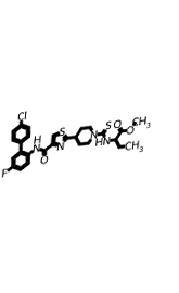 CCC(NC(=S)N1CCC(c2nc(C(=O)Nc3ccc(F)cc3-c3ccc(Cl)cc3)cs2)CC1)C(=O)OC